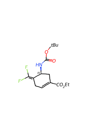 CCOC(=O)C1=CCC(=C(F)F)[C@@H](NC(=O)OC(C)(C)C)C1